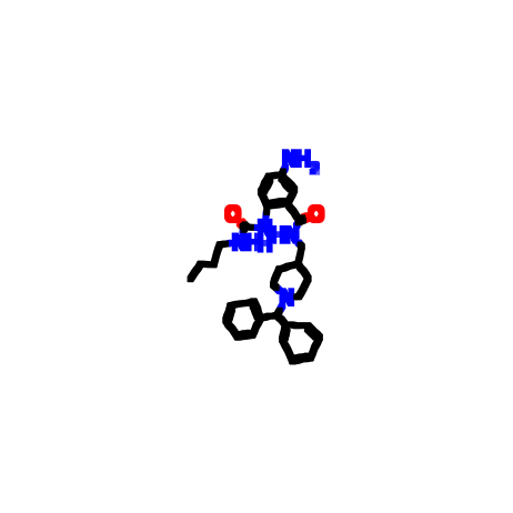 CCCCNC(=O)Nc1ccc(N)cc1C(=O)NCC1CCN(C(c2ccccc2)c2ccccc2)CC1